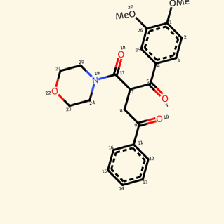 COc1ccc(C(=O)C(CC(=O)c2ccccc2)C(=O)N2CCOCC2)cc1OC